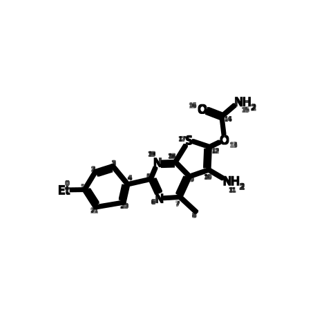 CCc1ccc(-c2nc(C)c3c(N)c(OC(N)=O)sc3n2)cc1